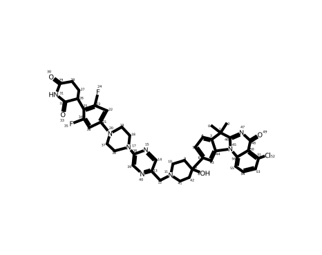 CC1(C)c2ccc(C3(O)CCN(Cc4cnc(N5CCN(c6cc(F)c(C7CCC(=O)NC7=O)c(F)c6)CC5)cn4)CC3)cc2-n2c1nc(=O)c1c(Cl)cccc12